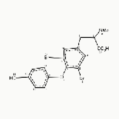 CNC(Cc1cc(Br)c(Oc2ccc(O)cc2)c(Br)c1)C(=O)O